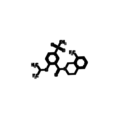 CC(Oc1ccc(S(C)(=O)=O)cc1C(=O)N1CCc2cccc(C(F)(F)F)c2C1)C(F)(F)F